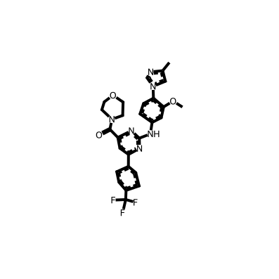 COc1cc(Nc2nc(C(=O)N3CCOCC3)cc(-c3ccc(C(F)(F)F)cc3)n2)ccc1-n1cnc(C)c1